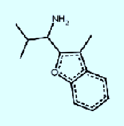 Cc1c(C(N)C(C)C)oc2ccccc12